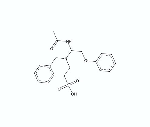 CC(=O)NC(COc1ccccc1)N(CCS(=O)(=O)O)Cc1ccccc1